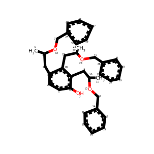 CC(Cc1ccc(O)c(CC(C)OCc2ccccc2)c1CC(C)OCc1ccccc1)OCc1ccccc1